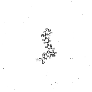 O=C(O)NCC(=CF)Cn1ncn(Cc2ccc(-c3ccc(C(=O)N4CCOCC4)cc3)s2)c1=O